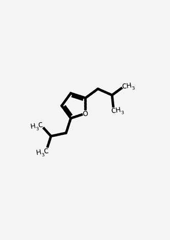 CC(C)Cc1ccc(CC(C)C)o1